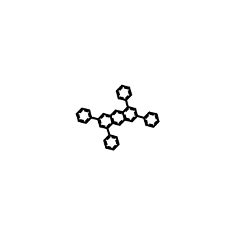 c1ccc(-c2cc(-c3ccccc3)c3cc4cc(-c5ccccc5)cc(-c5ccccc5)c4cc3c2)cc1